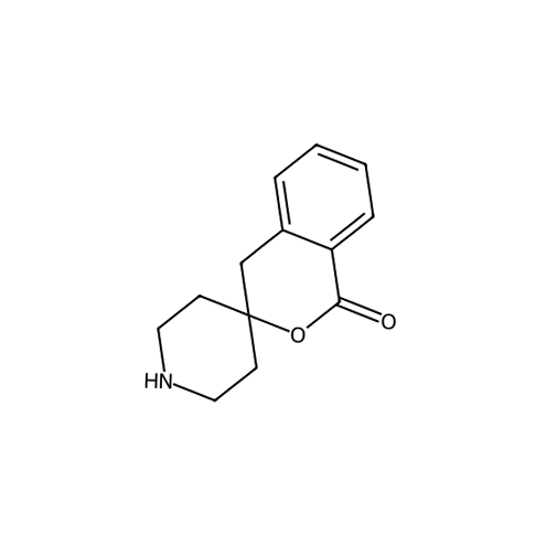 O=C1OC2(CCNCC2)Cc2ccccc21